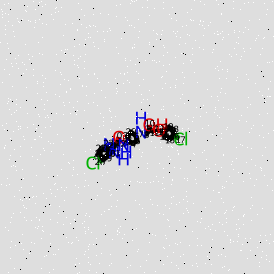 O=C(NC1CCC(NCC(O)COc2ccc(Cl)cc2)CC1)c1nc2ccc(Cl)cc2[nH]1